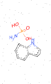 NP(=O)(O)O.c1ccc2[nH]ccc2c1